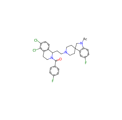 CC(=O)N1CC2(CCN(CCC3c4ccc(Cl)c(Cl)c4CCN3C(=O)c3ccc(F)cc3)CC2)c2cc(F)ccc21